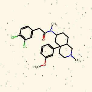 COc1cccc(C23CCN(C)CC2CCC(N(C)C(=O)Cc2ccc(Cl)c(Cl)c2)C3)c1